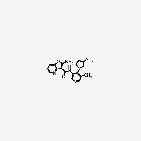 Cc1cncc(NC(=O)c2c(N)oc3cccnc23)c1N1CCC(N)C1